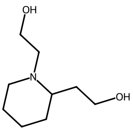 OCCC1CCCCN1CCO